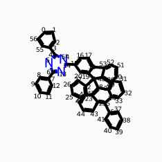 c1ccc(-c2nc(-c3ccccc3)nc(-c3ccc4c(c3)C(c3ccccc3)(c3c5ccccc5c(-c5ccccc5)c5ccccc35)c3ccccc3-4)n2)cc1